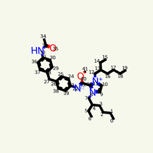 CCCCC(CC)Cn1cc[n+](CC(CC)CCCC)c1/C(=N/c1ccc(Cc2ccc(NC(C)=O)cc2)cc1)OC